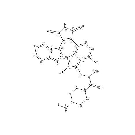 CNC1CCN(C(=O)C2Cn3c(F)cc4c(C5=C(c6cnc7ccccn67)C(=O)NC5=O)ccc(c43)CN2)CC1